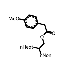 CCCCCCCCCC(CCCCCCC)COC(=O)Cc1ccc(OC)cc1